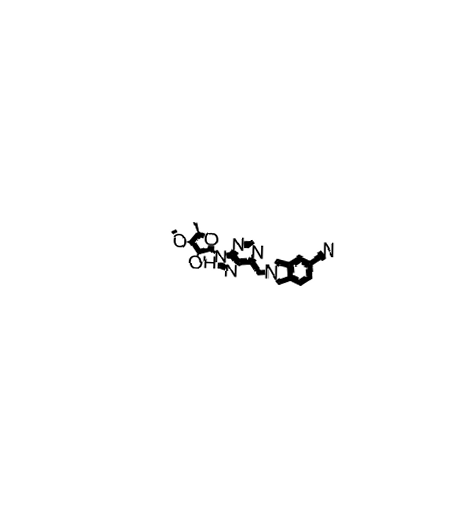 CO[C@H]1[C@@H](O)[C@H](n2cnc3c(CN4Cc5ccc(C#N)cc5C4)ncnc32)O[C@@H]1C